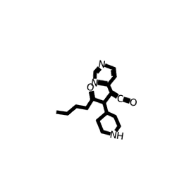 CCCCC(=O)C(C(=C=O)c1ccncn1)C1CCNCC1